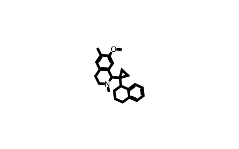 COc1cc2c(cc1C)CCN(C)C2C1(C2CCCc3ccccc32)CC1